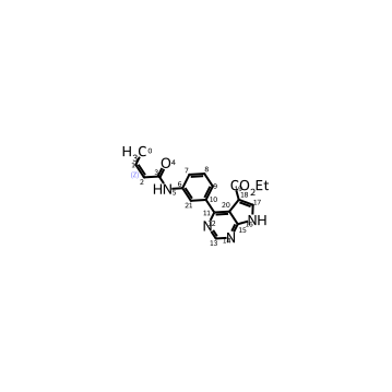 C/C=C\C(=O)Nc1cccc(-c2ncnc3[nH]cc(C(=O)OCC)c23)c1